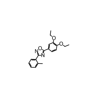 CCOc1ccc(-c2nc(-c3ccccc3C)no2)cc1OCC